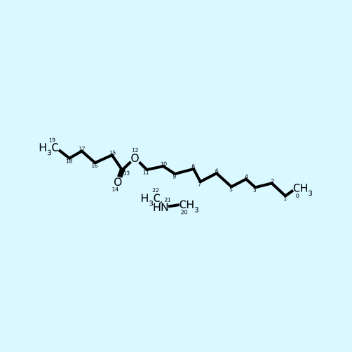 CCCCCCCCCCCCOC(=O)CCCCC.CNC